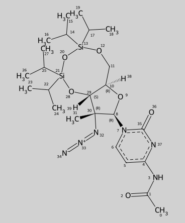 CC(=O)Nc1ccn([C@@H]2O[C@@H]3CO[Si](C(C)C)(C(C)C)O[Si](C(C)C)(C(C)C)O[C@H]3[C@@]2(C)N=[N+]=[N-])c(=O)n1